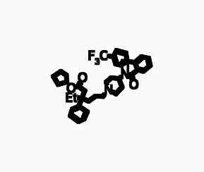 CCC(CCCN1CCC(NC(=O)c2ccccc2-c2ccc(C(F)(F)F)cc2)CC1)(CC(=O)OC1CCCC1)c1ccccc1